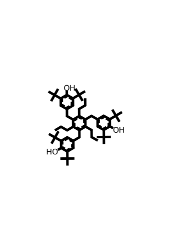 CCCc1c(Cc2cc(C(C)(C)C)c(O)c(C(C)(C)C)c2)c(CCC)c(Cc2cc(C(C)(C)C)c(O)c(C(C)(C)C)c2)c(CCC)c1Cc1cc(C(C)(C)C)c(O)c(C(C)(C)C)c1